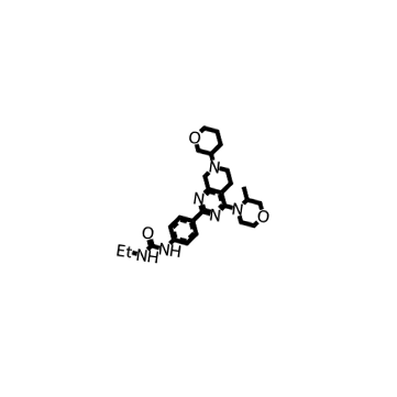 CCNC(=O)Nc1ccc(-c2nc3c(c(N4CCOCC4C)n2)CCN(C2CCCOC2)C3)cc1